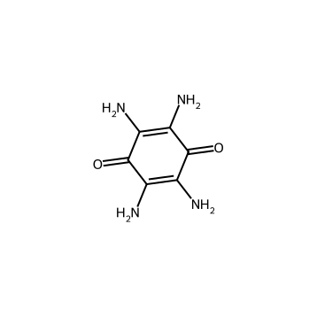 NC1=C(N)C(=O)C(N)=C(N)C1=O